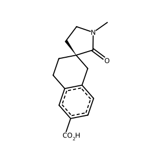 CN1CC[C@@]2(CCc3cc(C(=O)O)ccc3C2)C1=O